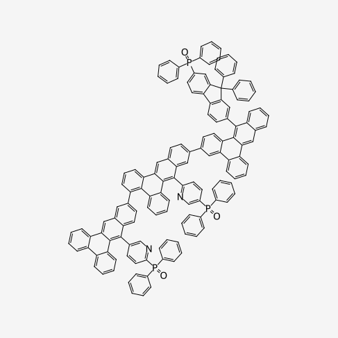 O=P(c1ccccc1)(c1ccccc1)c1ccc(-c2c3cc(-c4ccc5c(c4)c4ccccc4c4cc6ccccc6c(-c6ccc7c(c6)C(c6ccccc6)(c6ccccc6)c6cc(P(=O)(c8ccccc8)c8ccccc8)ccc6-7)c54)ccc3cc3c4cccc(-c5ccc6c(-c7ccc(P(=O)(c8ccccc8)c8ccccc8)nc7)c7c8ccccc8c8ccccc8c7cc6c5)c4c4ccccc4c23)nc1